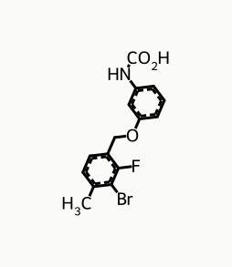 Cc1ccc(COc2cccc(NC(=O)O)c2)c(F)c1Br